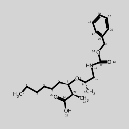 CCCCCC[C@@H](O[C@@H](C)CNC(=O)OCc1ccccc1)[C@@H](C)C(=O)O